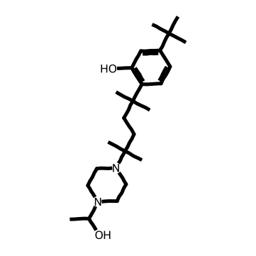 CC(O)N1CCN(C(C)(C)CCC(C)(C)c2ccc(C(C)(C)C)cc2O)CC1